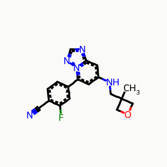 CC1(CNc2cc(-c3ccc(C#N)c(F)c3)n3ncnc3c2)COC1